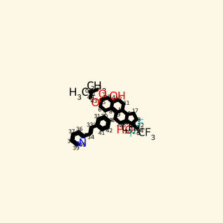 CC1(C)COC2(CCC3=C4C(CCC3(O)C2)C2CCC(O)(C(F)(F)C(F)(F)F)C2(C)C[C@@H]4c2ccc(/C=C/c3ccccn3)cc2)OC1